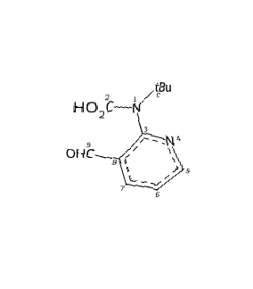 CC(C)(C)N(C(=O)O)c1ncccc1C=O